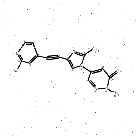 Cc1nc(C#Cc2ccnc(Cl)c2)cn1-c1cnn(C)c(=O)c1